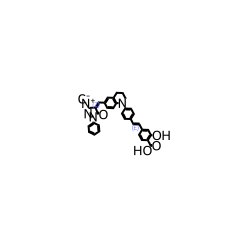 [C-]#[N+]C1=NN(c2ccccc2)C(=O)/C1=C\c1ccc2c(c1)CCCN2c1ccc(/C=C/c2ccc(C(=O)O)c(O)c2)cc1